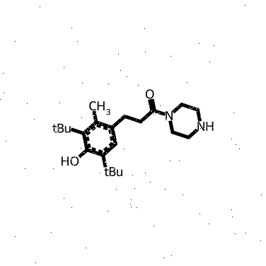 Cc1c(CCC(=O)N2CCNCC2)cc(C(C)(C)C)c(O)c1C(C)(C)C